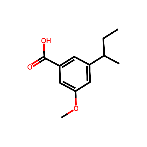 CCC(C)c1cc(OC)cc(C(=O)O)c1